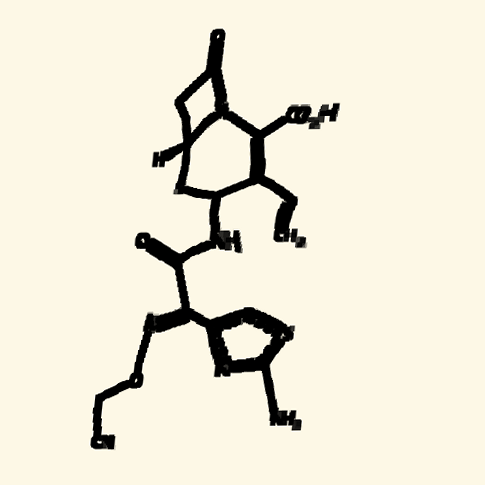 C=CC1=C(C(=O)O)N2C(=O)C[C@H]2SC1NC(=O)/C(=N/OCC#N)c1csc(N)n1